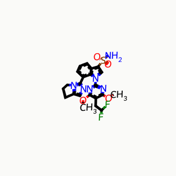 COc1nc(-n2cc(S(N)(=O)=O)c3cccc(-c4ncc5n4CCC5)c32)nc(OC)c1CC(F)F